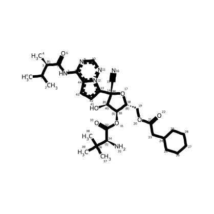 CC(C)[C@@H](C)C(=O)Nc1ncnn2c([C@]3(C#N)O[C@H](COC(=O)CC4CCCCC4)[C@@H](OC(=O)[C@@H](N)C(C)(C)C)[C@H]3O)ccc12